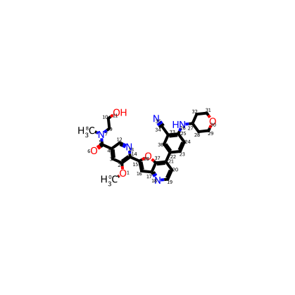 COc1cc(C(=O)N(C)CCO)cnc1-c1cc2nccc(-c3ccc(NC4CCOCC4)c(C#N)c3)c2o1